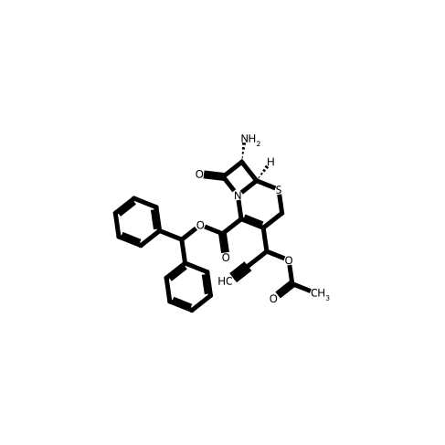 C#CC(OC(C)=O)C1=C(C(=O)OC(c2ccccc2)c2ccccc2)N2C(=O)[C@H](N)[C@H]2SC1